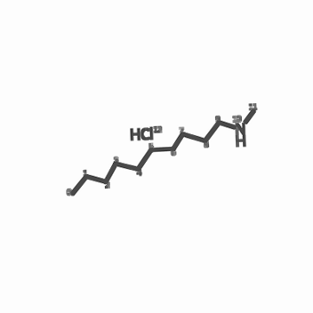 CCCCCCCCCCNC.Cl